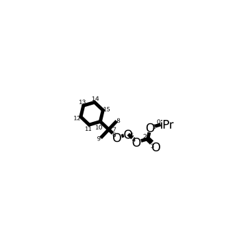 CC(C)OC(=O)OOOC(C)(C)C1CCCCC1